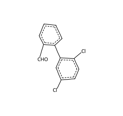 O=Cc1ccccc1-c1cc(Cl)ccc1Cl